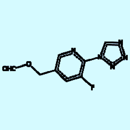 O=COCc1cnc(-n2cnnn2)c(F)c1